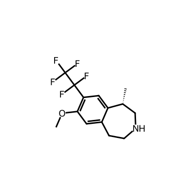 COc1cc2c(cc1C(F)(F)C(F)(F)F)[C@H](C)CNCC2